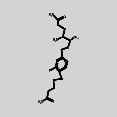 C[C@@H](OCc1ccc(CCCCC(N)=O)c(F)c1)[C@@H](N)CCC(N)=O